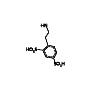 [NH]CCc1ccc(S(=O)(=O)O)cc1S(=O)(=O)O